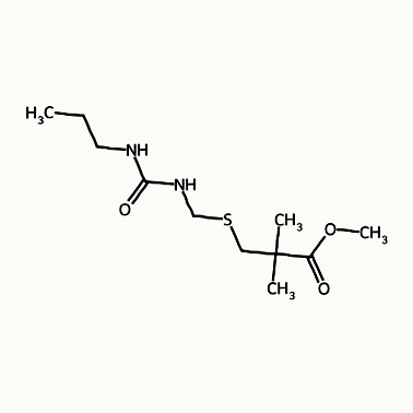 CCCNC(=O)NCSCC(C)(C)C(=O)OC